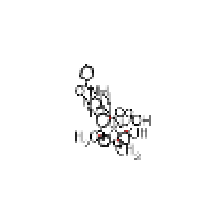 COc1ccccc1C(c1ccccc1)(c1ccccc1OC)N(C(=O)Cn1cnc2c(NC(=O)c3ccccc3)ncnc21)[C@@H](CO)C(=O)O